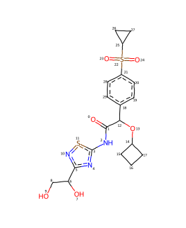 O=C(Nc1nc(C(O)CO)ns1)C(OC1CCC1)c1ccc(S(=O)(=O)C2CC2)cc1